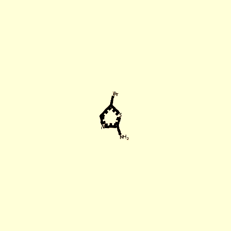 CC(C)c1cnc(N)s1